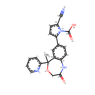 CC1(c2ccccn2)OCC(=O)Nc2ccc(-c3ccc(C#N)n3C(=O)O)cc21